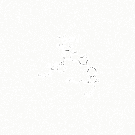 CCc1nc2ccc(-c3cncc(C[C@H](NC(=O)OC(C)(C)C)C(=O)N4CCC[C@@H](C(=O)OC)N4)c3)cc2n1CCCO